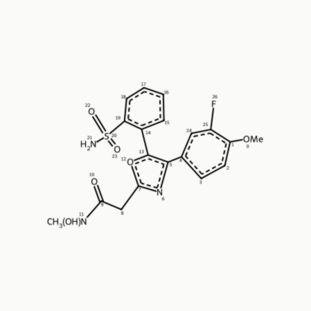 COc1ccc(-c2nc(CC(=O)N(C)O)oc2-c2ccccc2S(N)(=O)=O)cc1F